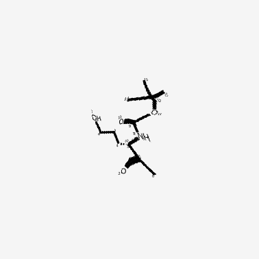 CC(=O)[C@H](CCCO)NC(=O)OC(C)(C)C